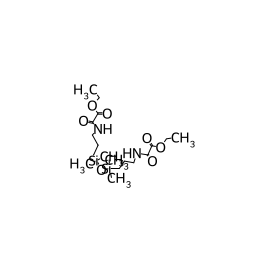 CCOC(=O)C(=O)NCCC[Si](C)(C)O[Si](C)(C)CCCNC(=O)C(=O)OCC